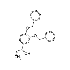 C=C[C@H](O)c1ccc(OCc2ccccc2)c(OCc2ccccc2)c1